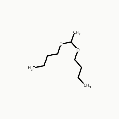 [CH2]C(OCCCC)OCCCC